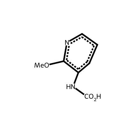 COc1ncccc1NC(=O)O